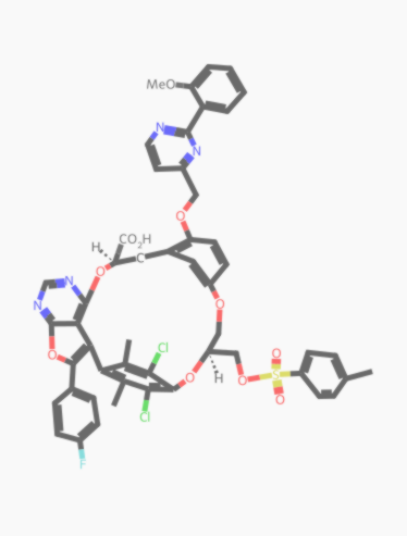 COc1ccccc1-c1nccc(COc2ccc3cc2C[C@H](C(=O)O)Oc2ncnc4oc(-c5ccc(F)cc5)c(c24)-c2c(C)c(Cl)c(c(Cl)c2C)O[C@H](COS(=O)(=O)c2ccc(C)cc2)CO3)n1